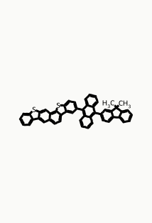 CC1(C)c2ccccc2-c2ccc(-c3c4ccccc4c(-c4ccc5sc6c7cc8sc9ccccc9c8cc7ccc6c5c4)c4ccccc34)cc21